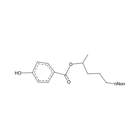 CCCCCCCCCCCCC(C)OC(=O)c1ccc(O)cc1